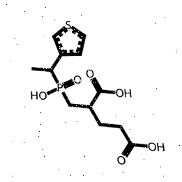 CC(c1ccsc1)P(=O)(O)CC(CCC(=O)O)C(=O)O